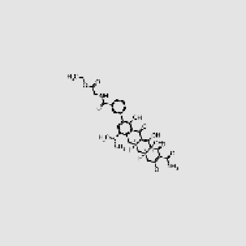 CCOC(=O)CNC(=O)c1cccc(-c2cc(N(C)C)c3c(c2O)C(=O)C2=C(O)[C@]4(O)C(=O)C(C(N)=O)=C(O)C[C@@H]4C[C@@H]2C3)c1